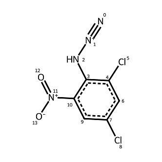 N#[N+]Nc1c(Cl)cc(Cl)cc1[N+](=O)[O-]